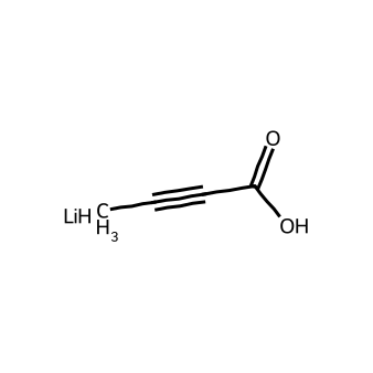 CC#CC(=O)O.[LiH]